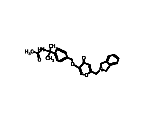 CC(=O)NC(C)(C)c1ccc(COc2coc(CN3Cc4ccccc4C3)cc2=O)cc1